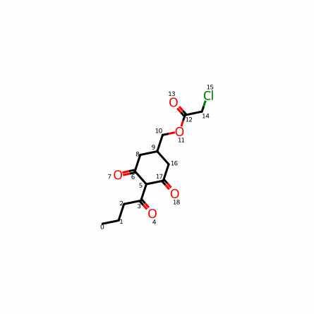 CCCC(=O)C1C(=O)CC(COC(=O)CCl)CC1=O